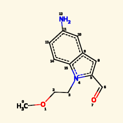 COCCn1c(C=O)cc2cc(N)ccc21